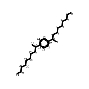 CCCCCCCCC(C)c1ccc(C(C)CCCCCCCC)cc1